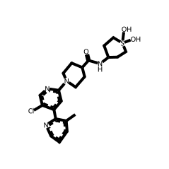 Cc1cccnc1-c1cc(N2CCC(C(=O)NC3CCS(O)(O)CC3)CC2)ncc1Cl